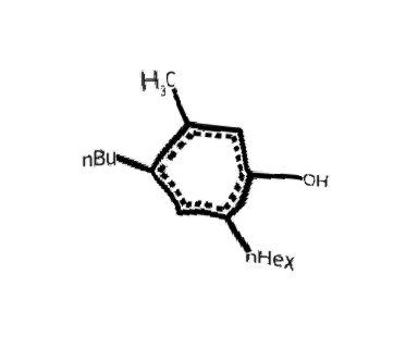 CCCCCCc1cc(CCCC)c(C)cc1O